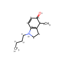 CC1C(=O)C=CC2=C1CCN2CCCC(F)(F)F